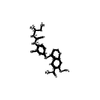 COc1cc2nccc(Oc3ccc(NC(=S)N[C@@H](C)CO)c(Cl)c3)c2cc1C(N)=O